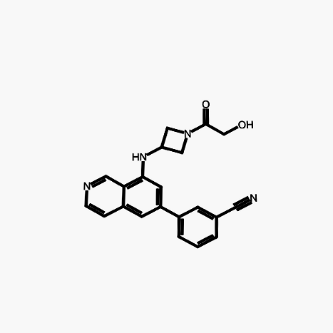 N#Cc1cccc(-c2cc(NC3CN(C(=O)CO)C3)c3cnccc3c2)c1